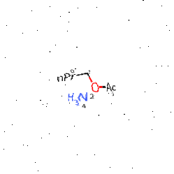 CCCCOC(C)=O.N